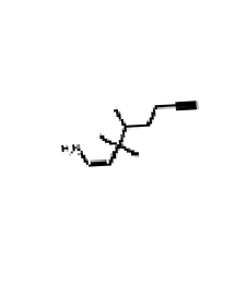 C#CCCC(C)C(C)(C)/C=C\N